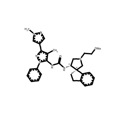 COCCN1C[C@@H](NC(=O)Nc2c(C)c(-c3cnn(C)c3)nn2-c2ccccc2)[C@@]2(CCc3ccccc32)C1